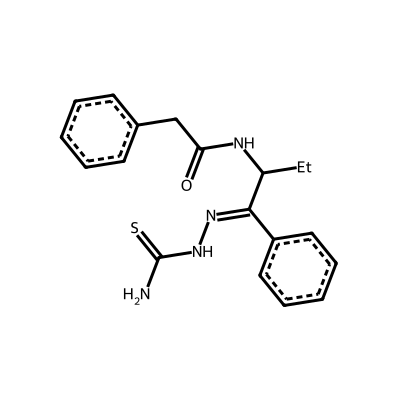 CCC(NC(=O)Cc1ccccc1)C(=NNC(N)=S)c1ccccc1